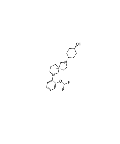 O[C@H]1CC[C@H](N2CC[C@]3(CCCN(c4ccccc4OC(F)F)C3)C2)CC1